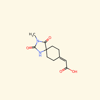 CN1C(=O)NC2(CCC(=CC(=O)O)CC2)C1=O